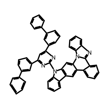 c1ccc(-c2cccc(-c3cc(-c4cccc(-c5ccccc5)c4)nc(-n4c5ccccc5c5cc6c7ccccc7c7nc8ccccc8n7c6cc54)n3)c2)cc1